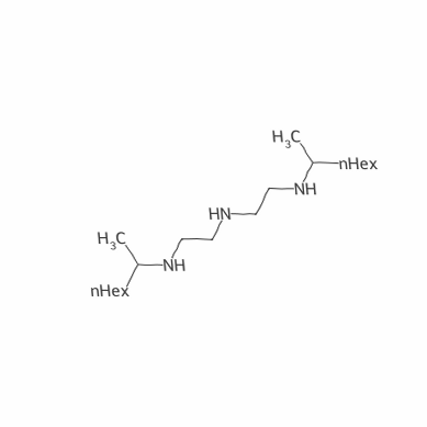 CCCCCCC(C)NCCNCCNC(C)CCCCCC